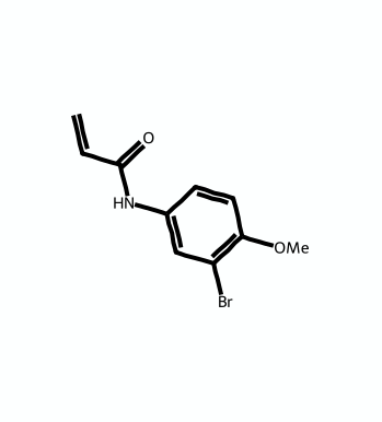 C=CC(=O)Nc1ccc(OC)c(Br)c1